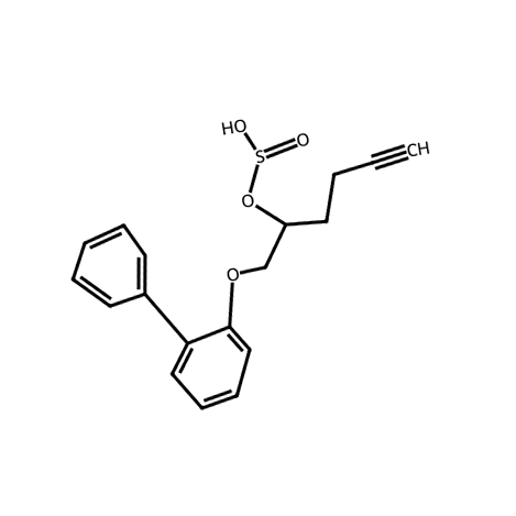 C#CCCC(COc1ccccc1-c1ccccc1)OS(=O)O